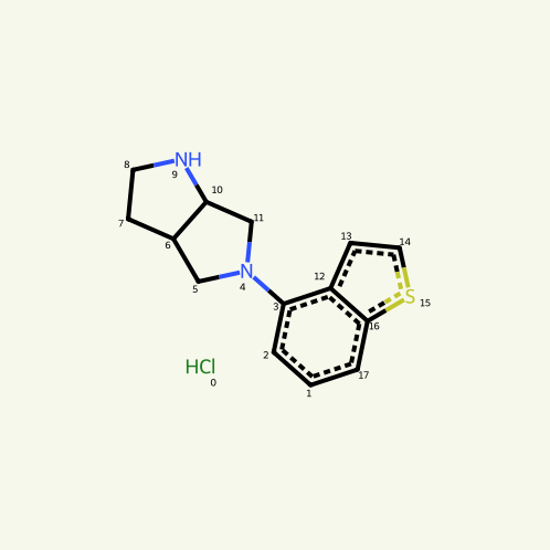 Cl.c1cc(N2CC3CCNC3C2)c2ccsc2c1